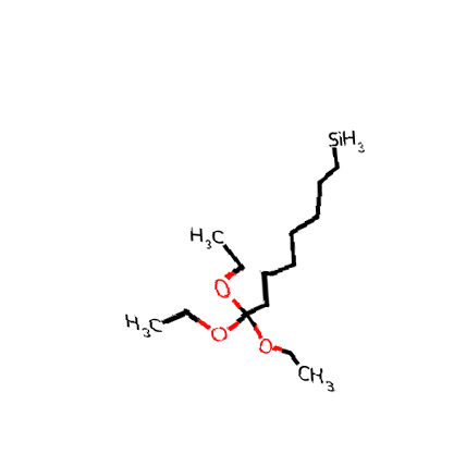 CCOC(CCCCCCC[SiH3])(OCC)OCC